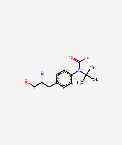 CC(C)(C)N(C(=O)O)c1ccc(CC(N)CO)cc1